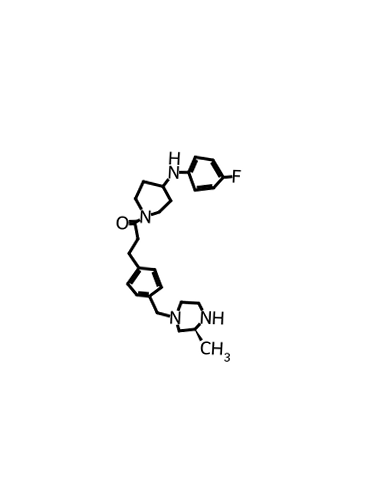 C[C@H]1CN(Cc2ccc(CCC(=O)N3CCC(Nc4ccc(F)cc4)CC3)cc2)CCN1